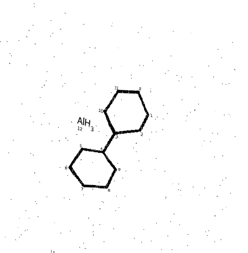 C1CCC(C2CCCCC2)CC1.[AlH3]